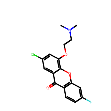 CN(C)CCOc1cc(Cl)cc2c(=O)c3ccc(F)cc3oc12